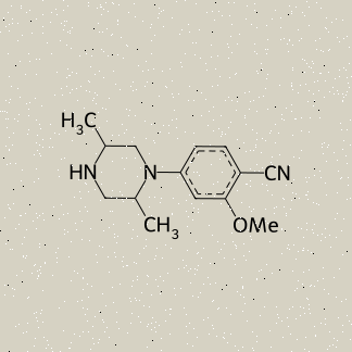 COc1cc(N2CC(C)NCC2C)ccc1C#N